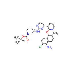 Cc1ccc2c(N)c(Cl)ccc2c1Oc1ncccc1-c1ccnc(N[C@H]2CCCN(C(=O)OC(C)(C)C)C2)n1